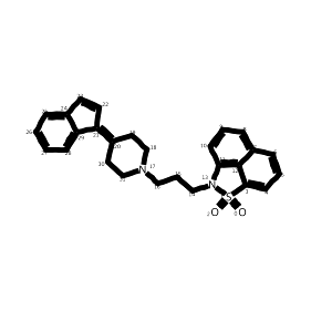 O=S1(=O)c2cccc3cccc(c23)N1CCCN1CCC(=C2C=Cc3ccccc32)CC1